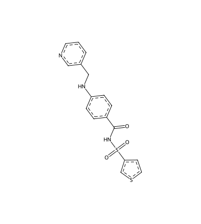 O=C(NS(=O)(=O)c1ccsc1)c1ccc(NCc2cccnc2)cc1